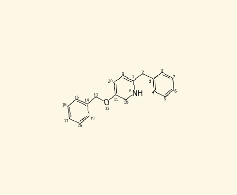 C1=C(Cc2ccccc2)NCC(OCc2ccccc2)=C1